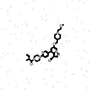 C=CC(C)C(=O)N1CCN(c2ccc(-c3cc(OCC4CCN(CCOC)CC4)cn4ncc(C#N)c34)cn2)CC1